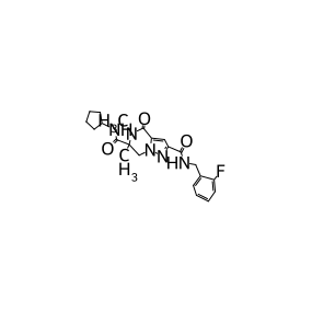 CN1C(=O)c2cc(C(=O)NCc3ccccc3F)nn2CC1(C)C(=O)NC1CCCC1